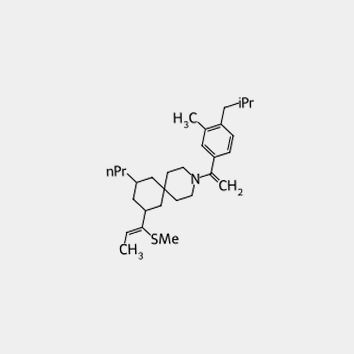 C=C(c1ccc(CC(C)C)c(C)c1)N1CCC2(CC1)CC(CCC)CC(/C(=C/C)SC)C2